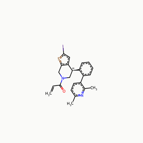 C=CC(=O)N1Cc2sc(I)cc2[C@@H](c2ccccc2-c2ccc(C)nc2C)C1